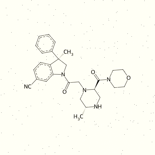 C[C@@H]1CN(CC(=O)N2C[C@](C)(c3ccccc3)c3ccc(C#N)cc32)[C@@H](C(=O)N2CCOCC2)CN1